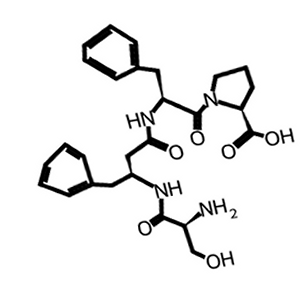 N[C@@H](CO)C(=O)N[C@H](CC(=O)N[C@@H](Cc1ccccc1)C(=O)N1CCC[C@H]1C(=O)O)Cc1ccccc1